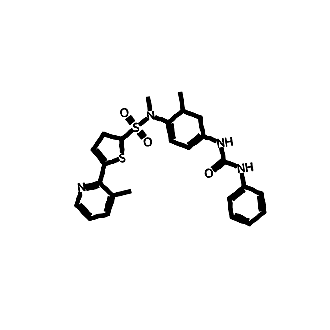 Cc1cccnc1C1=CCC(S(=O)(=O)N(C)C2=CC=C(NC(=O)Nc3ccccc3)CC2C)S1